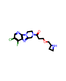 O=C(CCOCC1CCN1)N1CCn2c(nc3c(F)c(Cl)cnc32)C1